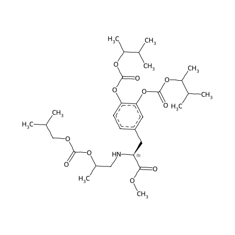 COC(=O)[C@H](Cc1ccc(OC(=O)OC(C)C(C)C)c(OC(=O)OC(C)C(C)C)c1)NCC(C)OC(=O)OCC(C)C